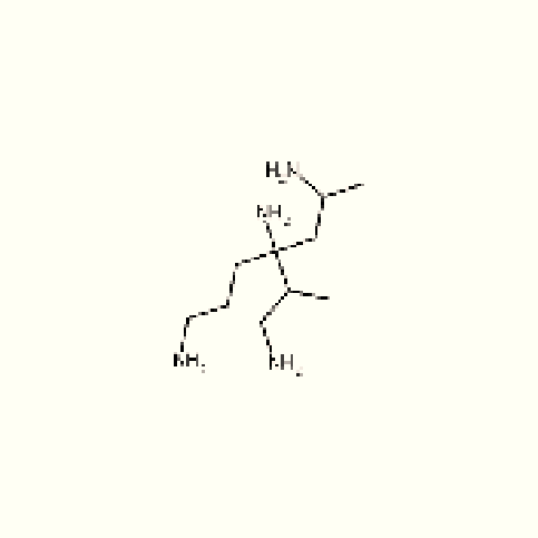 CC(N)CC(N)(CCCN)C(C)CN